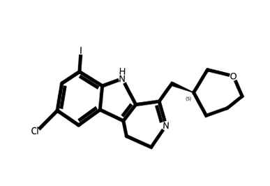 Clc1cc(I)c2[nH]c3c(c2c1)CCN=C3C[C@@H]1CCCOC1